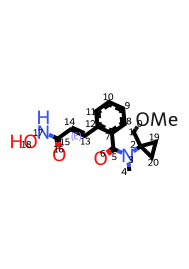 COCC1(N(C)C(=O)c2ccccc2/C=C/C(=O)NO)CC1